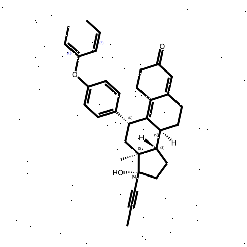 CC#C[C@]1(O)CC[C@H]2[C@@H]3CCC4=CC(=O)CCC4=C3[C@@H](c3ccc(OC(/C=C\C)=C/C)cc3)C[C@@]21C